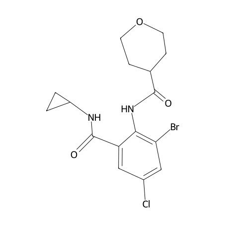 O=C(NC1CC1)c1cc(Cl)cc(Br)c1NC(=O)C1CCOCC1